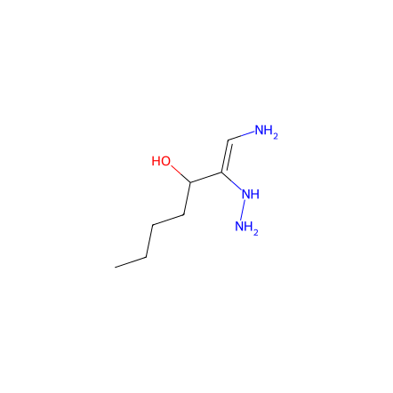 CCCCC(O)/C(=C/N)NN